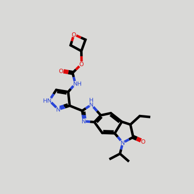 CCC1C(=O)N(C(C)C)c2cc3nc(-c4n[nH]cc4NC(=O)OC4COC4)[nH]c3cc21